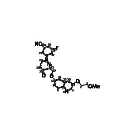 COCCOc1cnc2ccc(OCc3nn(-c4cc(F)cc(C#N)c4)ccc3=O)cc2c1